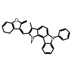 C=c1oc2c(/c1=C/c1c(C)c3ccc4c(c5ccccc5n4-c4ccccc4)c3n1C)CCC=C2